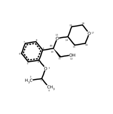 CC(C)Oc1ccccc1[C@H](CO)OC1CCOCC1